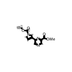 COC(=O)c1cncc(C2=CCN(C(=O)OC(C)(C)C)C2)n1